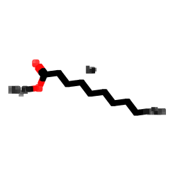 CCCCCCCCCCCCCCCCCC(=O)OC(=O)O.[La]